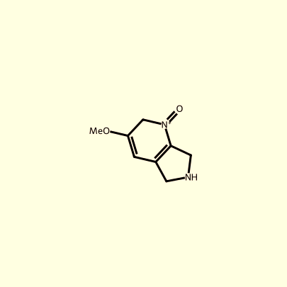 COC1=CC2=C(CNC2)[N+](=O)C1